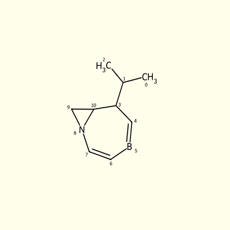 CC(C)C1C=BC=CN2CC12